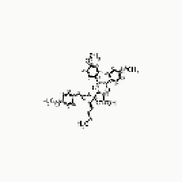 CCCC=C[C@]1(COCc2ccc(OC)cc2)O[C@H](O)[C@H](OCc2ccc(OC)cc2)[C@H]1OCc1ccc(OC)cc1